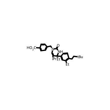 CCc1cc([C@]2(CC)NC(=O)N(Cc3ccc(C(=O)O)cc3)C=C2C(C)C)ccc1CCC(C)(C)C